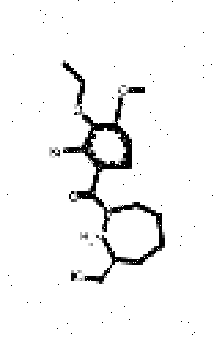 CCOc1c(OC)ccc(C(=O)N2CCCC[C@@H](CO)[SiH2]2)c1Br